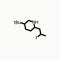 CC(F)CC1CCC(C(C)(C)C)CN1